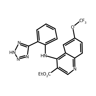 CCOC(=O)c1cnc2ccc(OC(F)(F)F)cc2c1Nc1ccccc1-c1nn[nH]n1